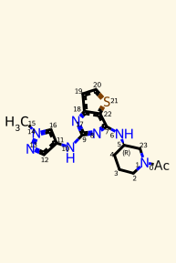 CC(=O)N1CCC[C@@H](Nc2nc(Nc3cnn(C)c3)nc3ccsc23)C1